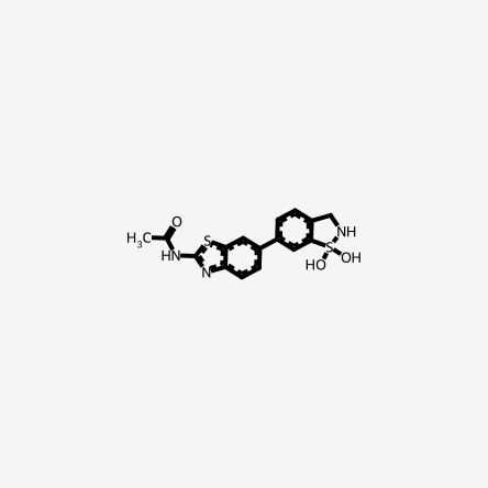 CC(=O)Nc1nc2ccc(-c3ccc4c(c3)S(O)(O)NC4)cc2s1